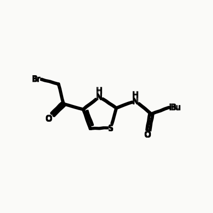 CCC(C)C(=O)NC1NC(C(=O)CBr)=CS1